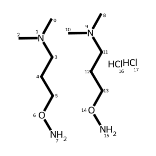 CN(C)CCCON.CN(C)CCCON.Cl.Cl